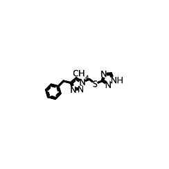 C.c1ccc(Cc2cn(CSc3nc[nH]n3)nn2)cc1